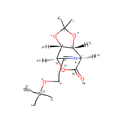 CC1(C)O[C@@H]2[C@H](O1)[C@@H]1N=C(CO[Si](C)(C)C(C)(C)C)[C@H]2OC1=O